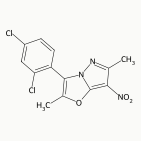 Cc1nn2c(-c3ccc(Cl)cc3Cl)c(C)oc2c1[N+](=O)[O-]